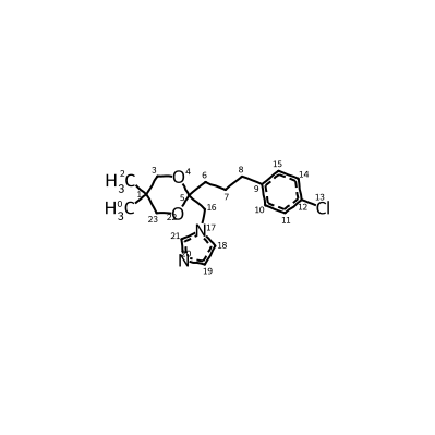 CC1(C)COC(CCCc2ccc(Cl)cc2)(Cn2ccnc2)OC1